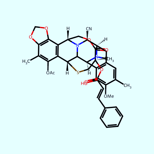 COc1c(C)cc2c(c1O)[C@H]1C3[C@@H]4SC[C@H](OC(=O)C=Cc5ccccc5)C(=O)OC[C@@H](c5c6c(c(C)c(OC(C)=O)c54)OCO6)N3[C@@H](C#N)[C@@H](C2)N1C